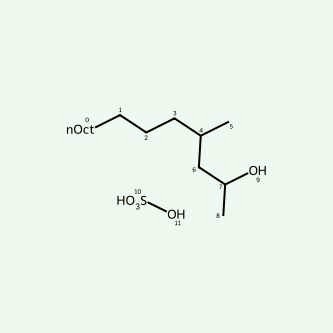 CCCCCCCCCCCC(C)CC(C)O.O=S(=O)(O)O